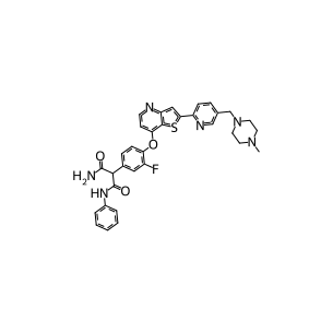 CN1CCN(Cc2ccc(-c3cc4nccc(Oc5ccc(C(C(N)=O)C(=O)Nc6ccccc6)cc5F)c4s3)nc2)CC1